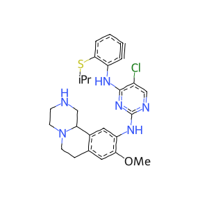 COc1cc2c(cc1Nc1ncc(Cl)c(Nc3c#cccc3SC(C)C)n1)C1CNCCN1CC2